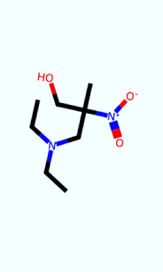 CCN(CC)CC(C)(CO)[N+](=O)[O-]